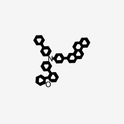 c1ccc(-c2ccc(N(c3ccc(-c4ccc5ccc6c7ccccc7ccc6c5c4)cc3)c3cccc(-c4cccc5oc6ccccc6c45)c3)cc2)cc1